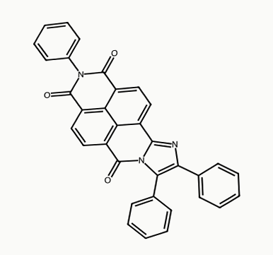 O=C1c2ccc3c(=O)n4c(-c5ccccc5)c(-c5ccccc5)nc4c4ccc(c2c34)C(=O)N1c1ccccc1